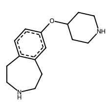 c1cc2c(cc1OC1CCNCC1)CCNCC2